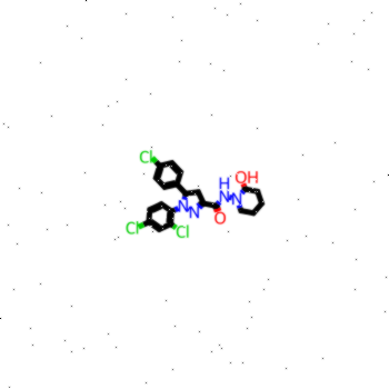 O=C(NN1CCCCC1O)C1=NN(c2ccc(Cl)cc2Cl)C(c2ccc(Cl)cc2)C1